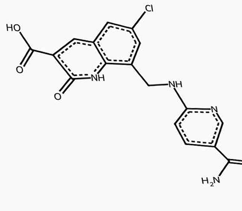 NC(=O)c1ccc(NCc2cc(Cl)cc3cc(C(=O)O)c(=O)[nH]c23)nc1